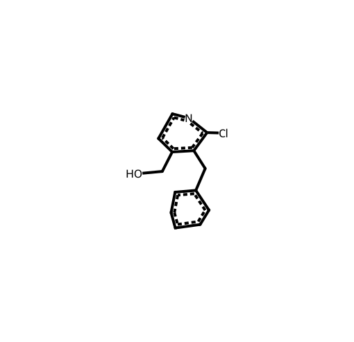 OCc1ccnc(Cl)c1Cc1ccccc1